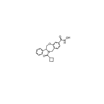 O=C(NO)c1ccc2c(c1)OCC(c1ccccc1)N(C(=O)C1CCC1)C2